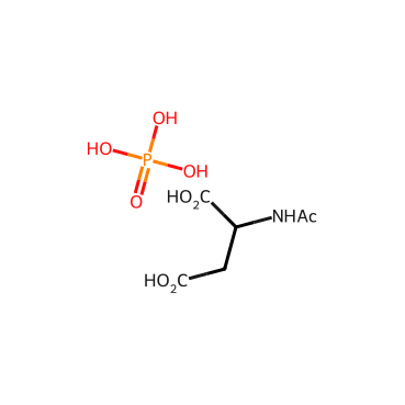 CC(=O)NC(CC(=O)O)C(=O)O.O=P(O)(O)O